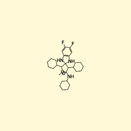 COC(C1CCCCC1)C1(C(C(=O)NC2CCCCC2)C2CCCCC2)Nc2cc(F)c(F)cc2N1